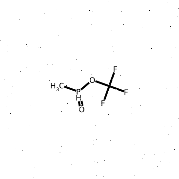 C[PH](=O)OC(F)(F)F